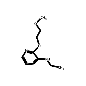 CCNc1cccnc1OCCOC